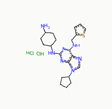 Cl.Cl.NC1CCC(Nc2nc(NCc3cccs3)c3ncn(C4CCCC4)c3n2)CC1